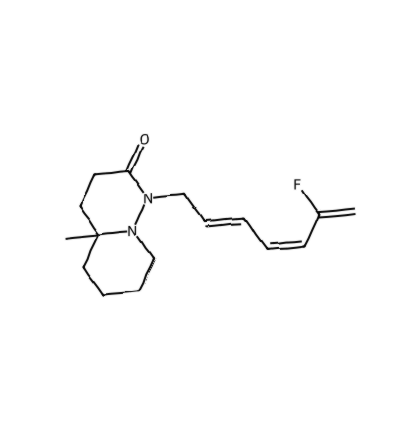 C=C(F)/C=C\C=C\CN1C(=O)CCC2(C)CCCCN12